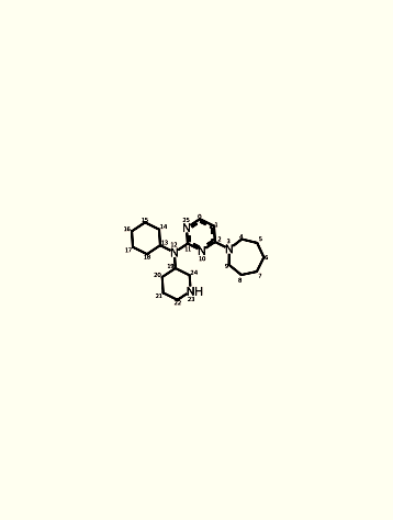 c1cc(N2CCCCCC2)nc(N(C2CCCCC2)C2CCCNC2)n1